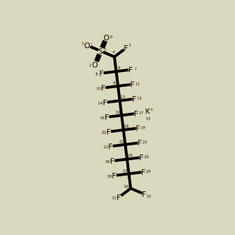 O=S(=O)([O-])C(F)C(F)(F)C(F)(F)C(F)(F)C(F)(F)C(F)(F)C(F)(F)C(F)(F)C(F)(F)C(F)F.[K+]